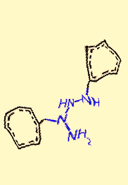 NN(NNc1ccccc1)c1ccccc1